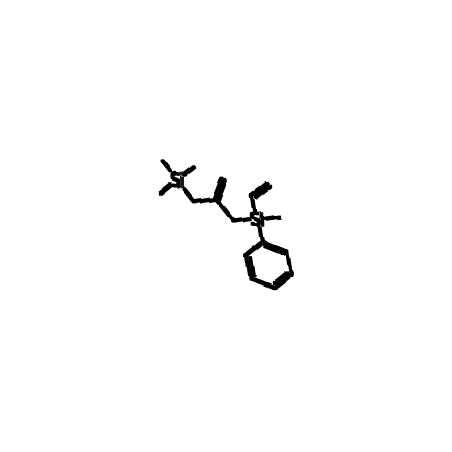 C=C[Si](C)(CC(=C)C[Si](C)(C)C)c1ccccc1